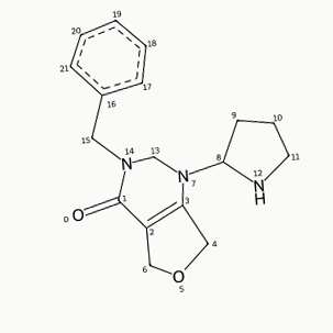 O=C1C2=C(COC2)N(C2CCCN2)CN1Cc1ccccc1